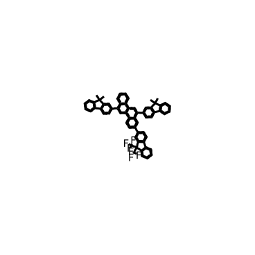 CC1(C)c2ccccc2-c2ccc(-c3cc4c5ccc(-c6ccc7c(c6)C(C(F)(F)F)(C(F)(F)F)c6ccccc6-7)cc5c(-c5ccc6c(c5)C(C)(C)c5ccccc5-6)cc4c4ccccc34)cc21